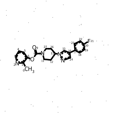 Cc1ncccc1OC(=O)N1CCC(n2cc(-c3ccc(F)cc3)cn2)CC1